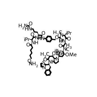 CC[C@H](C)[C@@H]([C@@H](CC(=O)N1CCC[C@H]1[C@H](OC)[C@@H](C)C(=O)N[C@@H](Cc1ccccc1)c1nccs1)OC)N(C)C(=O)CNC(=O)[C@H](C(C)C)N(C)C(=O)OCc1ccc(NC(=O)[C@H](CCCNC(N)=O)NC(=O)[C@@H](NC(=O)CCCCCON)C(C)C)cc1